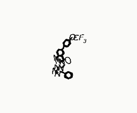 O=c1c2cc(-c3ccc(OC(F)(F)F)cc3)ccc2nnn1Cn1nnnc1-c1ccccc1